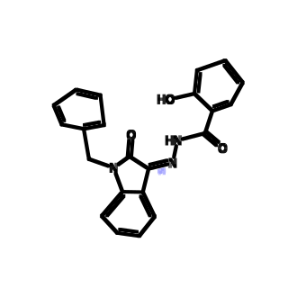 O=C(N/N=C1\C(=O)N(Cc2ccccc2)c2ccccc21)c1ccccc1O